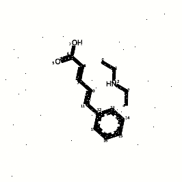 CCNCC.O=C(O)C=CC=Cc1ccccc1